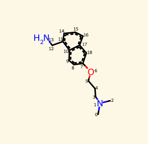 CN(C)CCCOc1ccc2c(CN)cccc2c1